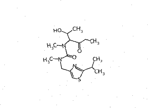 CCC(=O)C(C(C)O)N(C)C(=O)N(C)Cc1csc(C(C)C)n1